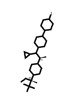 CC[C@](C)(C1CCC([C@H](C)C(C2CCC(C3CCC(I)CC3)CC2)C2CC2)CC1)C(C)(C)C